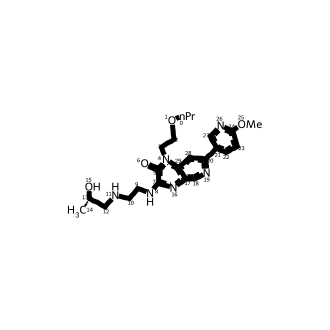 CCCOCCn1c(=O)c(NCCNC[C@H](C)O)nc2cnc(-c3ccc(OC)nc3)cc21